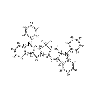 CC1(C)c2cc3c(cc2-n2cc4c5ccccc5n(-c5ccccc5)c4c21)c1ccccc1n3-c1ccccc1